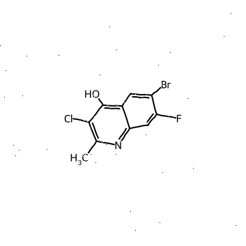 Cc1nc2cc(F)c(Br)cc2c(O)c1Cl